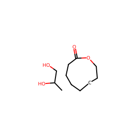 CC(O)CO.O=C1CCCCCCCO1